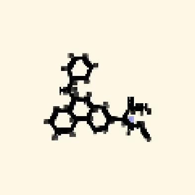 C=N/N=C(\NN)c1ccc2c(c1)nc(Nc1ccccc1)c1ccncc12